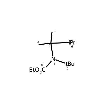 CCOC(=O)N(C(C)(C)C)C(C)(C)C(C)C